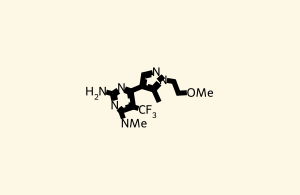 CNc1nc(N)nc(-c2cnn(CCOC)c2C)c1C(F)(F)F